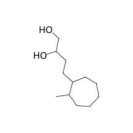 CC1CCCCCC1CCC(O)CO